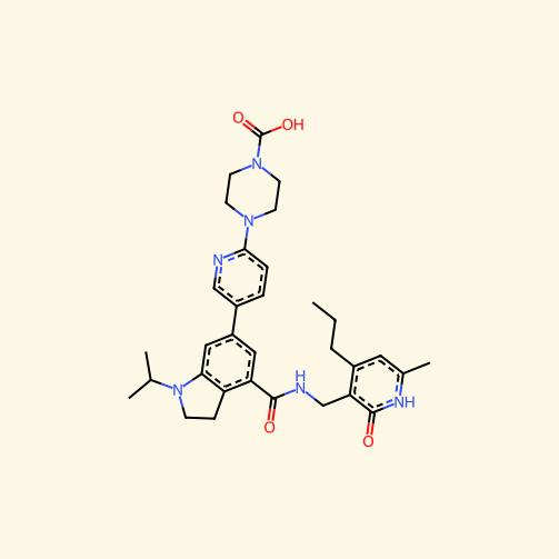 CCCc1cc(C)[nH]c(=O)c1CNC(=O)c1cc(-c2ccc(N3CCN(C(=O)O)CC3)nc2)cc2c1CCN2C(C)C